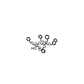 COC1C(OCC(OCc2ccccc2)C(OCc2ccccc2)C(COCc2ccc3ccccc3c2)OCc2ccccc2)OC(COCc2ccccc2)C1O